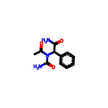 CC(=O)N(C(N)=O)C(C(N)=O)c1ccccc1